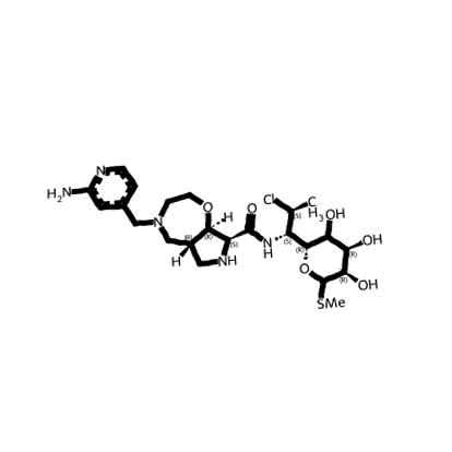 CSC1O[C@H]([C@H](NC(=O)[C@H]2NC[C@@H]3CN(Cc4ccnc(N)c4)CCO[C@H]32)[C@H](C)Cl)C(O)[C@@H](O)[C@H]1O